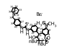 CCCCC1(CCCC)CS(=O)(=O)c2ccc(N(C)C)cc2C(c2cccc(NC(=S)Nc3ccc(C[N+]45CCC(CC4)CC5)cc3)c2)C1O.[Br-]